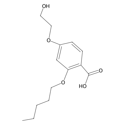 CCCCCOc1cc(OCCO)ccc1C(=O)O